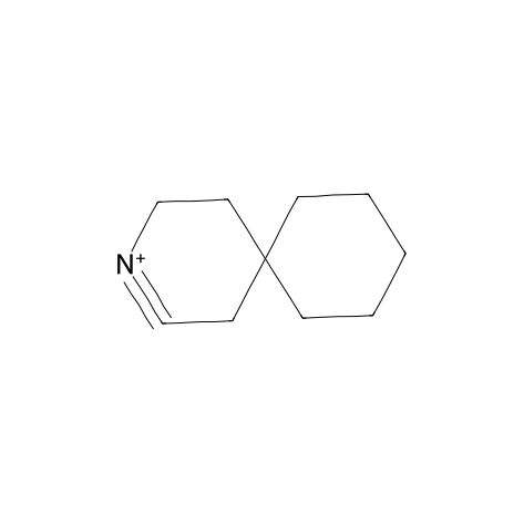 C1#[N+]CCC2(C1)CCCCC2